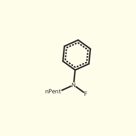 CCCCCN(F)c1ccccc1